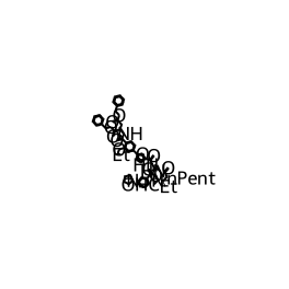 CCCCCC(C(=O)NCNC(=O)c1ccc(-c2ccc(C(=O)NC(CC(=O)OCc3ccccc3)C(=O)OCc3ccccc3)c(OCC)c2)o1)[C@@H](CC)N(C=O)OC(=O)c1cccc(N2CCCC2)c1